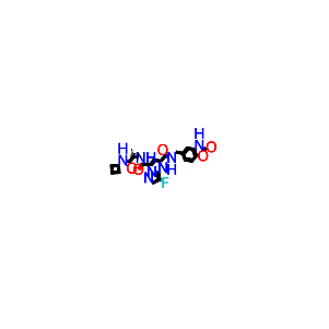 C[C@H](NC(=O)c1cc(C(=O)NCc2ccc3oc(=O)[nH]c3c2)nc2c(F)cnn12)C(=O)NC1CCC1